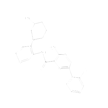 Nc1ncc(-c2ccccc2Cl)nc1C(=O)Nc1cnccc1N1CCCC(N)C1